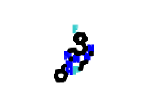 FCCCn1cnc(-c2ccc(F)cc2)c1-c1ccnc(NCC2CCCCC2)n1